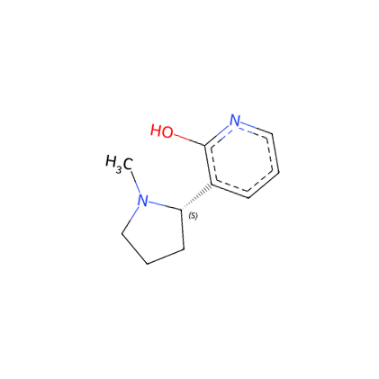 CN1CCC[C@H]1c1cccnc1O